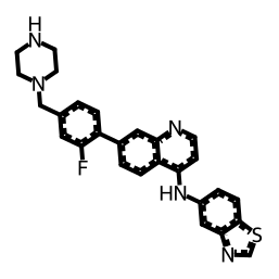 Fc1cc(CN2CCNCC2)ccc1-c1ccc2c(Nc3ccc4scnc4c3)ccnc2c1